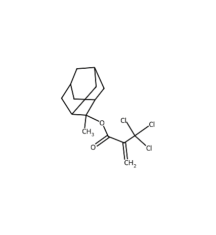 C=C(C(=O)OC1(C)C2CC3CC(C2)CC1C3)C(Cl)(Cl)Cl